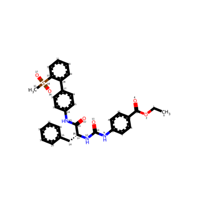 CCOC(=O)c1ccc(NC(=O)N[C@H](Cc2ccccc2)C(=O)Nc2ccc(-c3ccccc3S(C)(=O)=O)cc2)cc1